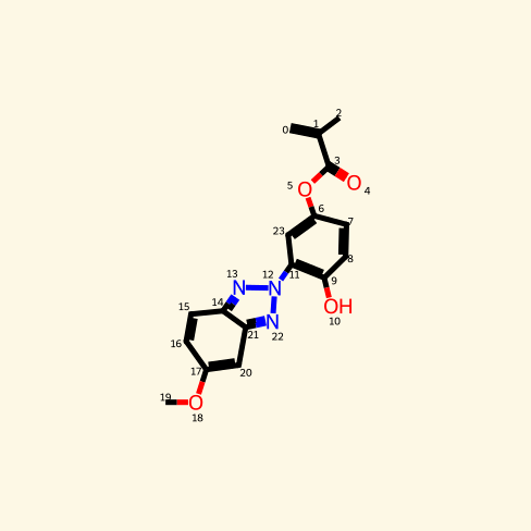 C=C(C)C(=O)Oc1ccc(O)c(-n2nc3ccc(OC)cc3n2)c1